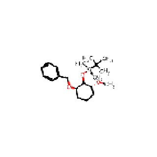 CO[C@@H]1CCC[C@@H](OCc2ccccc2)C1O[Si](C)(C)C(C)(C)C